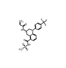 C=CC(=O)N[C@@H]1Cc2c(C(=O)NS(C)(=O)=O)cccc2N(c2ccc(C(F)(F)F)cc2)C1